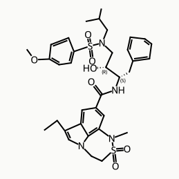 CCc1cn2c3c(cc(C(=O)N[C@@H](Cc4ccccc4)[C@H](O)CN(CC(C)C)S(=O)(=O)c4ccc(OC)cc4)cc13)N(C)S(=O)(=O)CC2